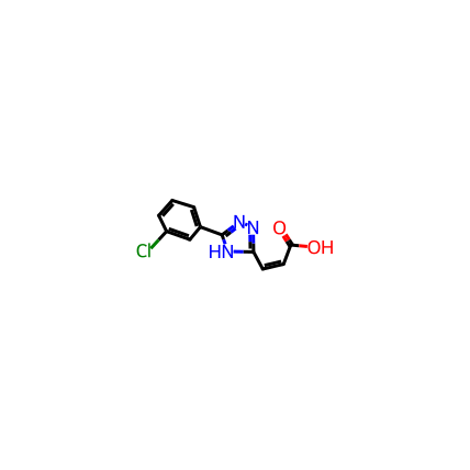 O=C(O)/C=C\c1nnc(-c2cccc(Cl)c2)[nH]1